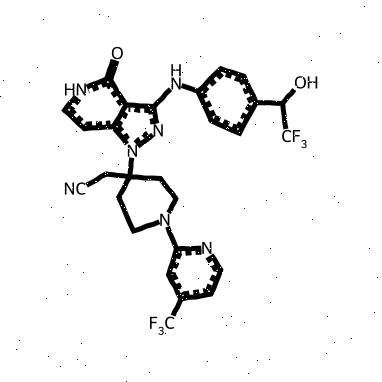 N#CCC1(n2nc(Nc3ccc(C(O)C(F)(F)F)cc3)c3c(=O)[nH]ccc32)CCN(c2cc(C(F)(F)F)ccn2)CC1